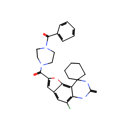 C=C1Nc2c(Cl)cc3cc(C(=O)N4CCN(C(=O)c5ccccc5)CC4)oc3c2C2(CCCCC2)N1